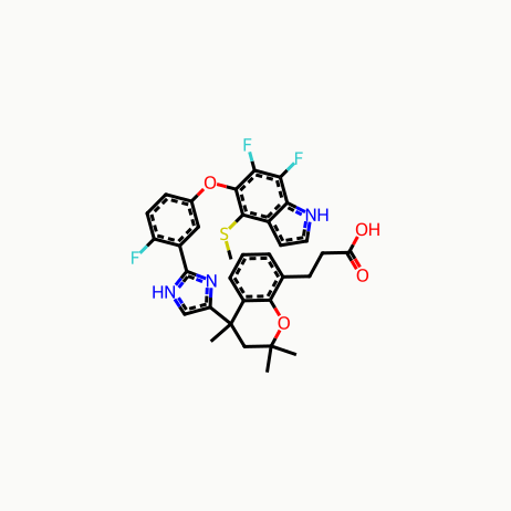 CSc1c(Oc2ccc(F)c(-c3nc(C4(C)CC(C)(C)Oc5c(CCC(=O)O)cccc54)c[nH]3)c2)c(F)c(F)c2[nH]ccc12